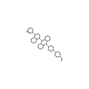 C=Cc1ccc(-c2ccc(-c3c4ccccc4c(-c4ccc(-c5cccnc5)c5ccccc45)c4ccccc34)cc2)cc1